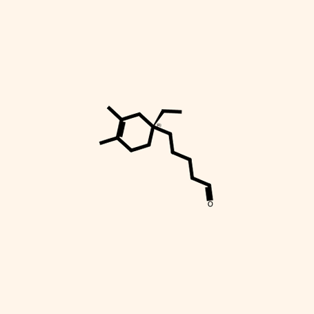 CC[C@@]1(CCCCC=O)CCC(C)=C(C)C1